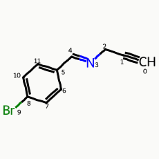 C#CCN=Cc1ccc(Br)cc1